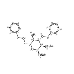 CO[C@H]1O[C@H](COCc2ccccc2)[C@@H](O)[C@H](OCc2ccccc2)[C@H]1NC(C)=O